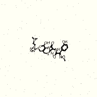 CO/N=C(/C(=O)NC1C(=O)N2C(C(=O)O)=C(CSc3nnnn3CCN(C)C)CS[C@H]12)c1cccc(O)c1